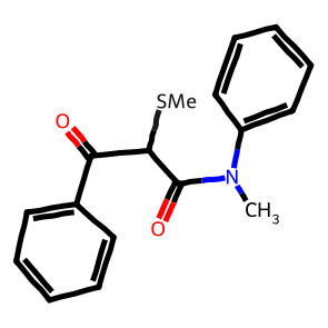 CSC(C(=O)c1ccccc1)C(=O)N(C)c1ccccc1